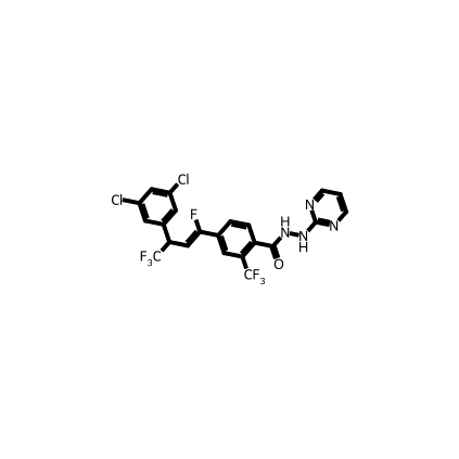 O=C(NNc1ncccn1)c1ccc(/C(F)=C/C(c2cc(Cl)cc(Cl)c2)C(F)(F)F)cc1C(F)(F)F